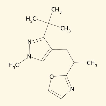 CC(Cc1cn(C)nc1C(C)(C)C)c1ncco1